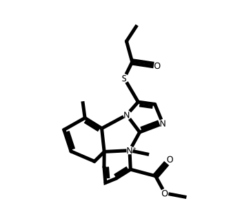 CCC(=O)Sc1cnc2n1C1=C(C)C=CCC13C=CC=C(C(=O)OC)[N+]23C